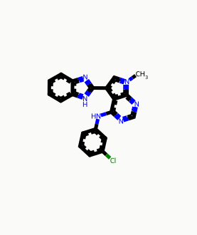 Cn1cc(-c2nc3ccccc3[nH]2)c2c(Nc3cccc(Cl)c3)ncnc21